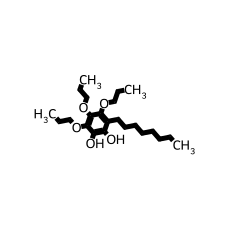 CCCCCCCCc1c(O)c(O)c(OCCC)c(OCCC)c1OCCC